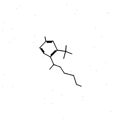 CCCCCC(C)c1ccc(Cl)cc1C(F)(F)F